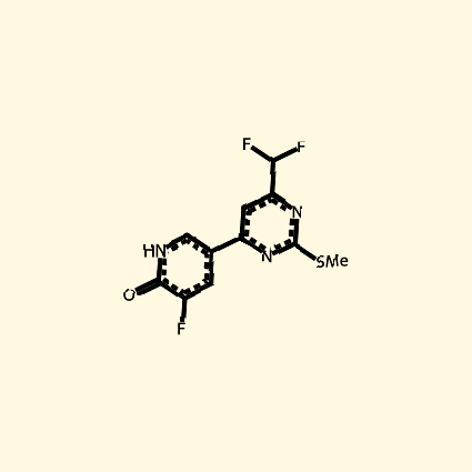 CSc1nc(-c2c[nH]c(=O)c(F)c2)cc(C(F)F)n1